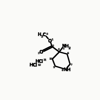 COC(=O)C1(N)CCNCC1.Cl.Cl